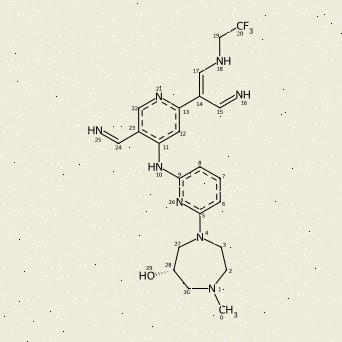 CN1CCN(c2cccc(Nc3cc(/C(C=N)=C/NCC(F)(F)F)ncc3C=N)n2)C[C@@H](O)C1